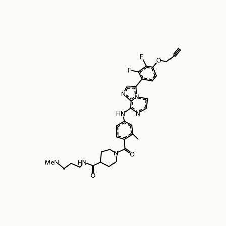 C#CCOc1ccc(-c2cnc3c(Nc4ccc(C(=O)N5CCC(C(=O)NCCCNC)CC5)c(C)c4)nccn23)c(F)c1F